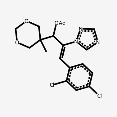 CC(=O)OC(C(=Cc1ccc(Cl)cc1Cl)n1cncn1)C1(C)COCOC1